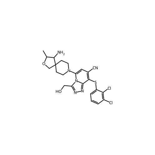 CC1OCC2(CCN(c3cc(C#N)c(Sc4cccc(Cl)c4Cl)c4nnc(CO)n34)CC2)C1N